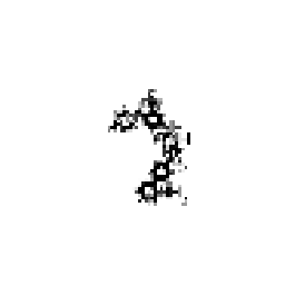 CN1CCN(Cc2ccc(NC(=O)Nc3cn(C)c(-c4ccc(-c5cccnc5N)cc4)n3)cc2C(F)(F)F)CC1